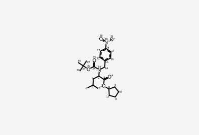 CC(C)CC(C(=O)OC1CCCC1)N(Cc1ccc([N+](=O)[O-])cc1)C(=O)OC(C)(C)C